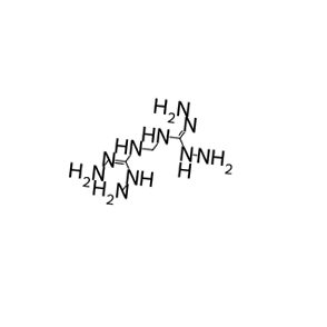 N/N=C(\NN)NCN/C(=N\N)NN